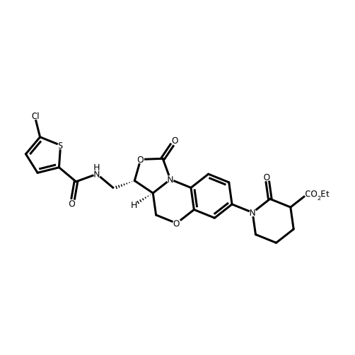 CCOC(=O)C1CCCN(c2ccc3c(c2)OC[C@H]2[C@H](CNC(=O)c4ccc(Cl)s4)OC(=O)N32)C1=O